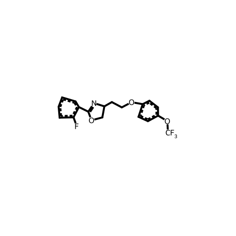 Fc1ccccc1C1=NC(CCOc2ccc(OC(F)(F)F)cc2)CO1